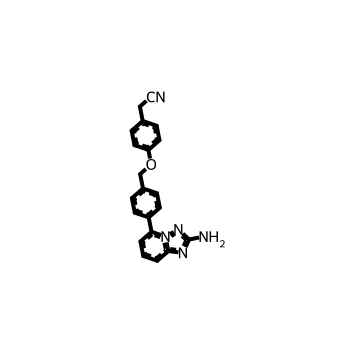 N#CCc1ccc(OCc2ccc(-c3cccc4nc(N)nn34)cc2)cc1